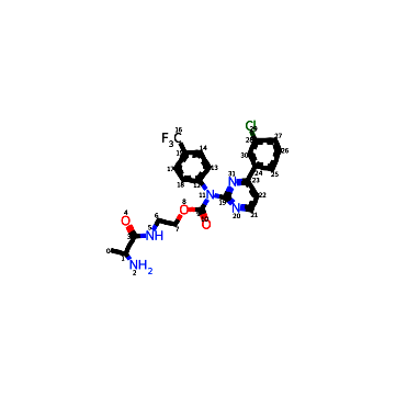 CC(N)C(=O)NCCOC(=O)N(c1ccc(C(F)(F)F)cc1)c1nccc(-c2cccc(Cl)c2)n1